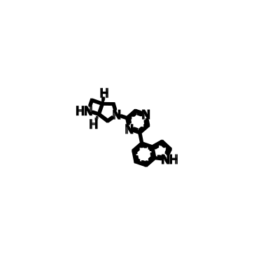 c1cc(-c2cncc(N3C[C@H]4CN[C@@H]4C3)n2)c2cc[nH]c2c1